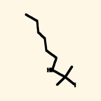 CCCCCCNC(C)(C)I